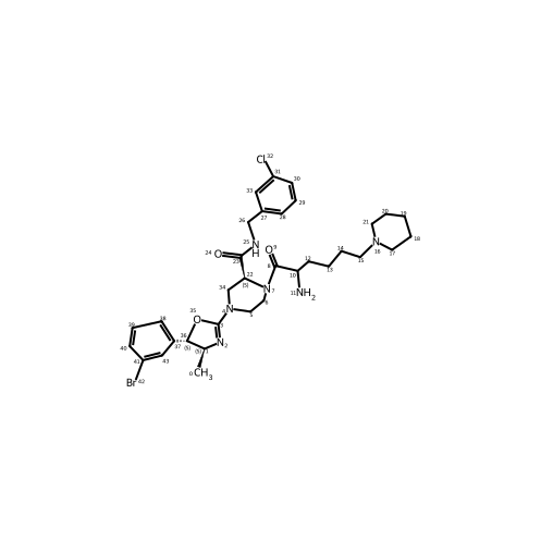 C[C@@H]1N=C(N2CCN(C(=O)C(N)CCCCN3CCCCC3)[C@H](C(=O)NCc3cccc(Cl)c3)C2)O[C@H]1c1cccc(Br)c1